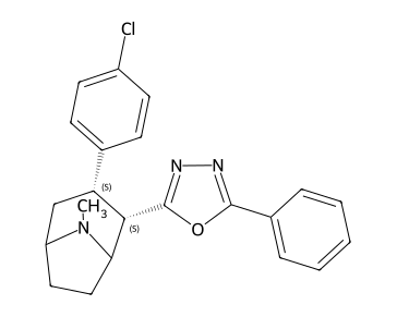 CN1C2CCC1[C@@H](c1nnc(-c3ccccc3)o1)[C@@H](c1ccc(Cl)cc1)C2